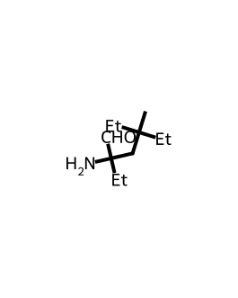 CCC(N)(C=O)CC(C)(CC)CC